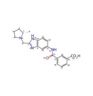 C[C@H]1CCCN1Cc1nc2cc(NC(=O)c3cccc(C(=O)O)c3)ccc2[nH]1